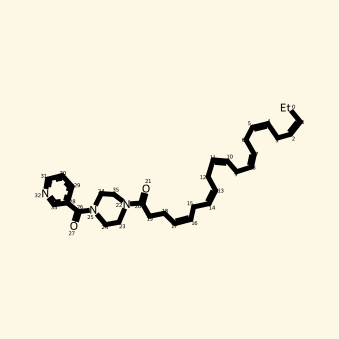 CC/C=C\C/C=C\C/C=C\C/C=C\C/C=C\C/C=C\CCC(=O)N1CCN(C(=O)c2cccnc2)CC1